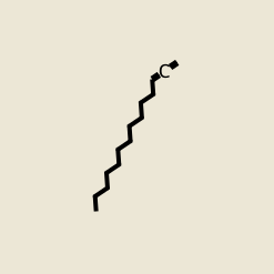 C=C=CCCCCCCCCCCC